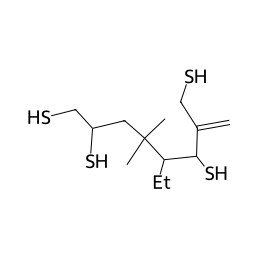 C=C(CS)C(S)C(CC)C(C)(C)CC(S)CS